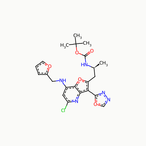 C[C@@H](Cc1oc2c(NCc3ccco3)cc(Cl)nc2c1-c1nnco1)NC(=O)OC(C)(C)C